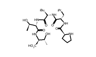 CC[C@H](C)[C@H](NC(=O)[C@H](CC(C)C)NC(=O)[C@@H]1CCCN1)C(=O)N[C@H](C(=O)N[C@H](C(=O)O)[C@@H](C)O)[C@@H](C)O